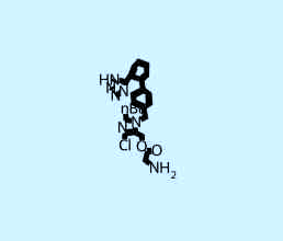 CCCCc1nc(Cl)c(COC(=O)CN)n1Cc1ccc(-c2ccccc2-c2nnn[nH]2)cc1